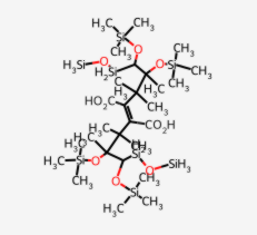 CC(C)(/C(C(=O)O)=C(\C(=O)O)C(C)(C)C(C)(O[Si](C)(C)C)C(O[Si](C)(C)C)[SiH2]O[SiH3])C(C)(O[Si](C)(C)C)C(O[Si](C)(C)C)[SiH2]O[SiH3]